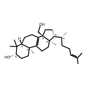 CC(C)=CCC[C@@H](C)[C@H]1CC[C@@]2(CO)C3=C(CC[C@]12C)[C@@]1(C)CC[C@H](O)C(C)(C)[C@@H]1CC3